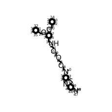 CN(CCOCCOCCOCCNCc1ccc(OCc2ccccc2)c(OCc2ccccc2)c1)c1ccc2nc3ccc(=[N+](C)C)cc-3sc2c1